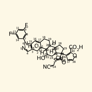 C[C@]12Cc3cnn(-c4cc(F)cc(F)c4)c3C=C1CC[C@@H]1[C@@H]2[C@@H](O)C[C@@]2(C)[C@H]1CC[C@]2(C(=O)SCC#N)c1ccoc1C(=O)O